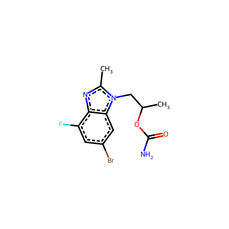 Cc1nc2c(F)cc(Br)cc2n1CC(C)OC(N)=O